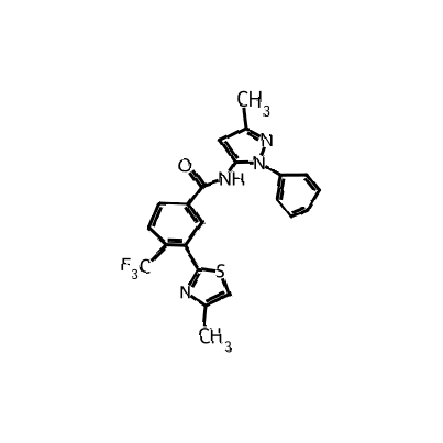 Cc1csc(-c2cc(C(=O)Nc3cc(C)nn3-c3ccccc3)ccc2C(F)(F)F)n1